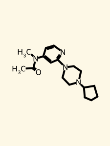 CC(=O)N(C)c1ccnc(N2CCN(C3CCCC3)CC2)c1